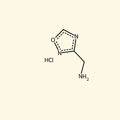 Cl.NCc1ncon1